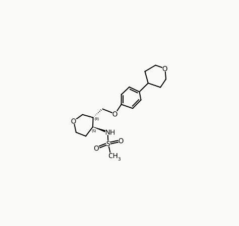 CS(=O)(=O)N[C@H]1CCOC[C@@H]1COc1ccc(C2CCOCC2)cc1